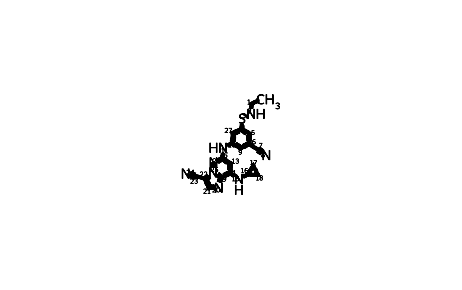 CCNSc1cc(C#N)cc(Nc2cc(NC3CC3)c3ncc(C#N)n3n2)c1